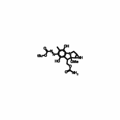 COC12C(COC(N)=O)c3c(O)c(N=NC(=O)OC(C)(C)C)c(C)c(O)c3N1CC1NC12